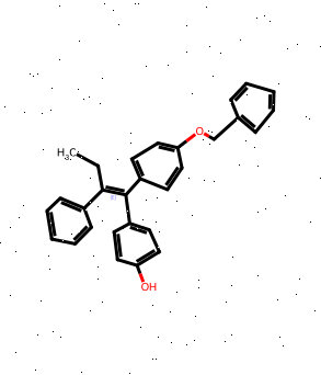 CC/C(=C(/c1ccc(O)cc1)c1ccc(OCc2ccccc2)cc1)c1ccccc1